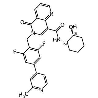 Cc1cc(-c2cc(F)c(Cn3cc(C(=O)N[C@H]4CCCC[C@@H]4O)c4ncccc4c3=O)c(F)c2)ccn1